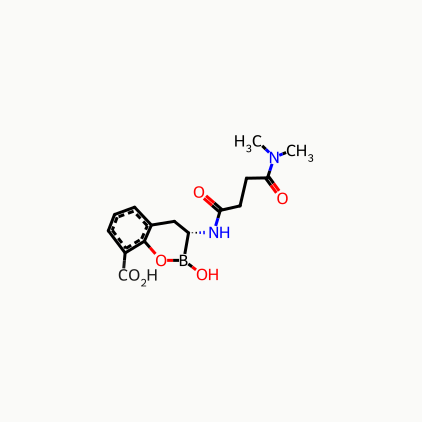 CN(C)C(=O)CCC(=O)N[C@H]1Cc2cccc(C(=O)O)c2OB1O